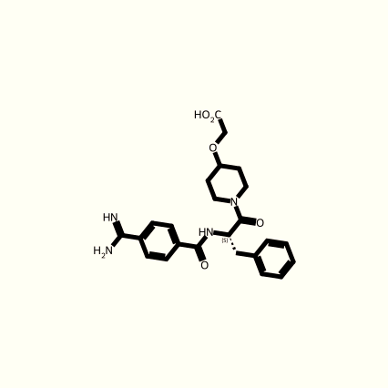 N=C(N)c1ccc(C(=O)N[C@@H](Cc2ccccc2)C(=O)N2CCC(OCC(=O)O)CC2)cc1